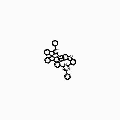 c1ccc(-c2nc(-c3ccccc3)nc(-c3cccc4oc5ccc(-c6ccc7c(c6)C6(c8ccccc8-7)c7ccccc7-c7c(-c8ccccc8)oc(-c8ccccc8)c76)cc5c34)n2)cc1